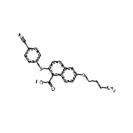 CCCCSc1ccc2c(C(=O)O)c(Sc3ccc(C#N)cc3)ccc2c1